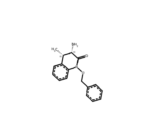 C[C@H]1c2ccccc2N(OCc2ccccc2)C(=O)[C@H]1N